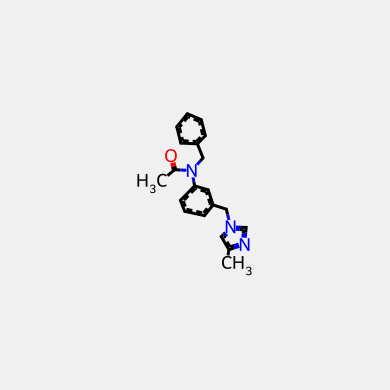 CC(=O)N(Cc1ccccc1)c1cccc(Cn2cnc(C)c2)c1